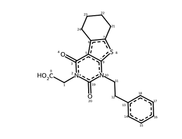 O=C(O)Cn1c(=O)c2c3c(sc2n(CCc2ccccc2)c1=O)CCCC3